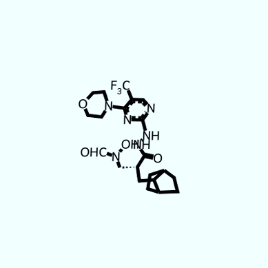 O=CN(O)C[C@@H](CC1C2CCC1CC2)C(=O)NNc1ncc(C(F)(F)F)c(N2CCOCC2)n1